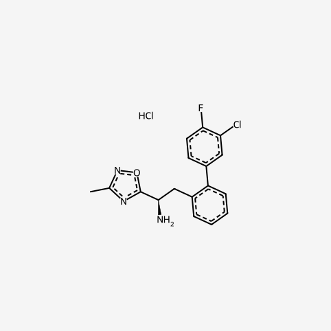 Cc1noc([C@H](N)Cc2ccccc2-c2ccc(F)c(Cl)c2)n1.Cl